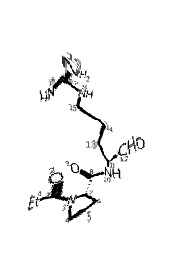 CCC(=O)N1CCC[C@H]1C(=O)N[C@H](C=O)CCCNC(=N)N